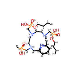 CCCCOP(=O)(O)CN1CCN(CP(C)(=O)O)Cc2cccc(n2)CN(CP(=O)(O)OCCCC)CC1